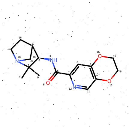 CC1(C)[C@H](NC(=O)c2cc3c(cn2)OCCO3)C2CCN1C2